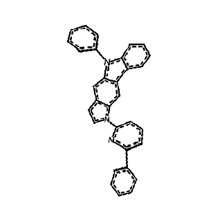 c1ccc(-c2cccc(-n3ccc4cc5c(cc43)c3ccccc3n5-c3ccccc3)n2)cc1